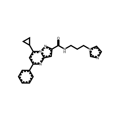 O=C(NCCCn1ccnc1)c1cc2nc(-c3ccccc3)cc(C3CC3)n2n1